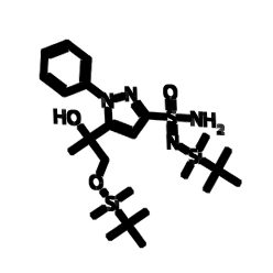 CC(O)(CO[Si](C)(C)C(C)(C)C)c1cc(S(N)(=O)=N[Si](C)(C)C(C)(C)C)nn1-c1ccccc1